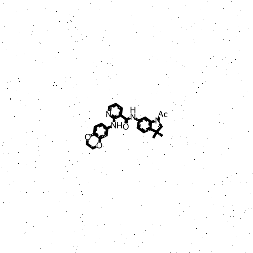 CC(=O)N1CC(C)(C)c2ccc(NC(=O)c3cccnc3Nc3ccc4c(c3)OCCO4)cc21